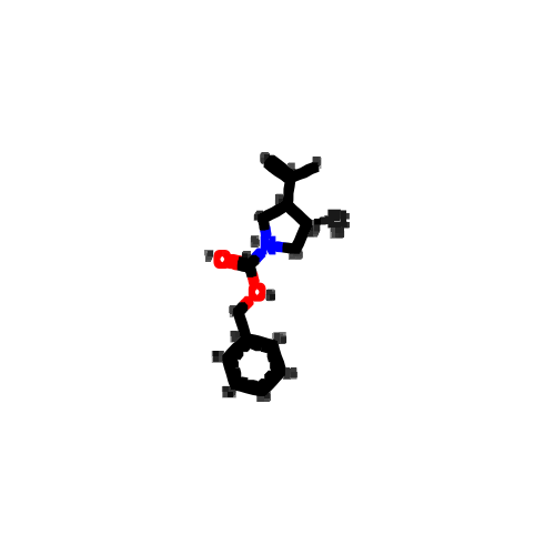 C=C(C)C1CN(C(=O)OCc2ccccc2)C[C@H]1CC